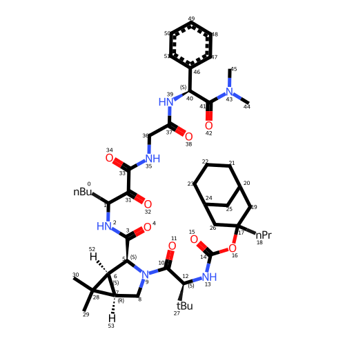 CCCCC(NC(=O)[C@@H]1[C@H]2[C@@H](CN1C(=O)[C@@H](NC(=O)OC1(CCC)CC3CCCC(C3)C1)C(C)(C)C)C2(C)C)C(=O)C(=O)NCC(=O)N[C@H](C(=O)N(C)C)c1ccccc1